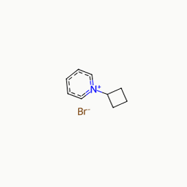 [Br-].c1cc[n+](C2CCC2)cc1